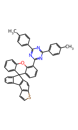 Cc1ccc(-c2nc(-c3ccc(C)cc3)nc(-c3cccc4c3Oc3ccccc3C43c4ccccc4-c4c3ccc3sccc43)n2)cc1